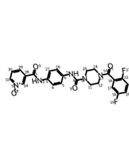 O=C(Nc1ccc(NC(=O)N2CCN(C(=O)c3cc(F)ccc3F)CC2)cc1)c1ccc[n+]([O-])c1